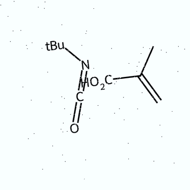 C=C(C)C(=O)O.CC(C)(C)N=C=O